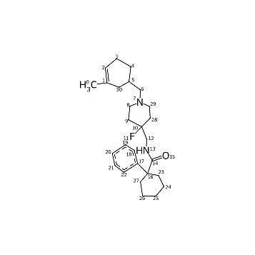 CC1=CCCC(CN2CCC(F)(CNC(=O)C3(c4ccccc4)CCCCC3)CC2)C1